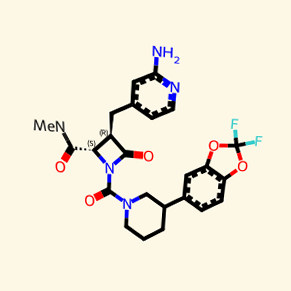 CNC(=O)[C@@H]1[C@@H](Cc2ccnc(N)c2)C(=O)N1C(=O)N1CCCC(c2ccc3c(c2)OC(F)(F)O3)C1